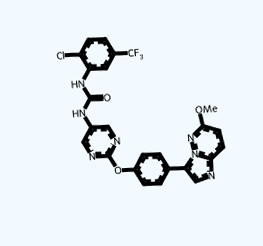 COc1ccc2ncc(-c3ccc(Oc4ncc(NC(=O)Nc5cc(C(F)(F)F)ccc5Cl)cn4)cc3)n2n1